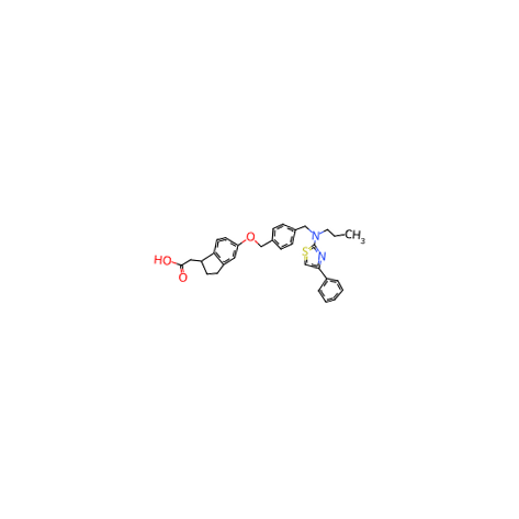 CCCN(Cc1ccc(COc2ccc3c(c2)CCC3CC(=O)O)cc1)c1nc(-c2ccccc2)cs1